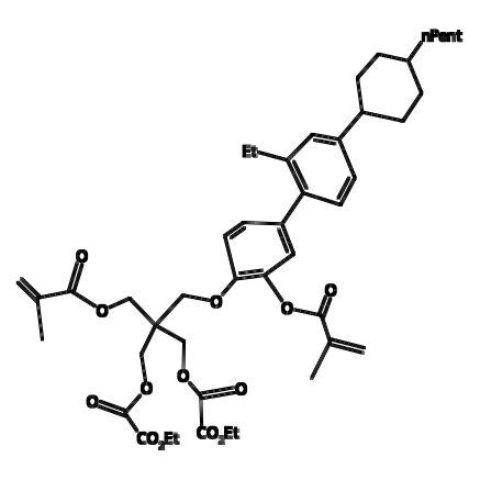 C=C(C)C(=O)OCC(COC(=O)C(=O)OCC)(COC(=O)C(=O)OCC)COc1ccc(-c2ccc(C3CCC(CCCCC)CC3)cc2CC)cc1OC(=O)C(=C)C